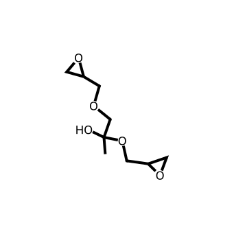 CC(O)(COCC1CO1)OCC1CO1